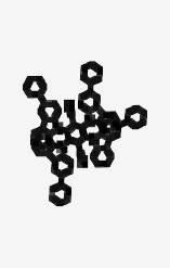 N#Cc1c(-n2c3ccccc3c3cc(-c4ccccc4)ccc32)c(-n2c3ccccc3c3cc(-c4ccccc4)ccc32)c(C#N)c(-n2c3ccccc3c3cc(-c4ccccc4)ccc32)c1-n1c2ccccc2c2cc(-c3ccccc3)ccc21